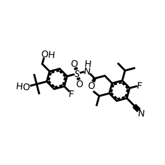 CC(C)c1cc(C#N)c(F)c(C(C)C)c1CC(=O)NS(=O)(=O)c1cc(CO)c(C(C)(C)O)cc1F